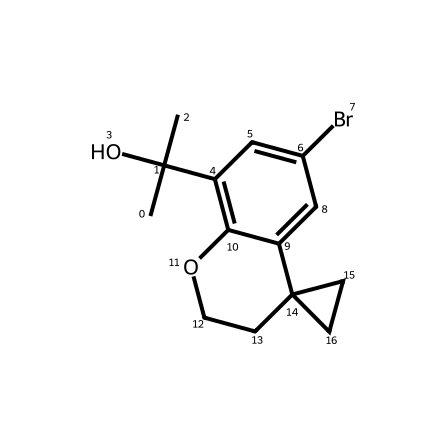 CC(C)(O)c1cc(Br)cc2c1OCCC21CC1